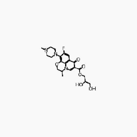 C[C@H]1COc2c(N3CCN(C)CC3)c(F)cc3c(=O)c(C(=O)OCC(O)CO)cn1c23